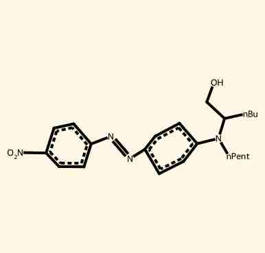 CCCCCN(c1ccc(N=Nc2ccc([N+](=O)[O-])cc2)cc1)C(CO)CCCC